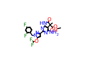 CCOC(O)C1(C)C(=O)Nc2nc(-c3cc(OC(F)F)n(Cc4ccc(F)cc4F)n3)nc(N)c21